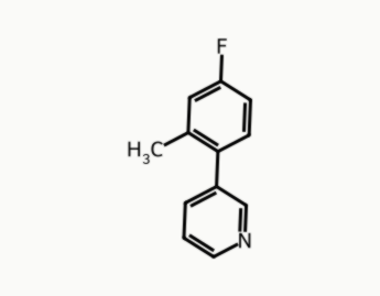 Cc1cc(F)ccc1-c1cccnc1